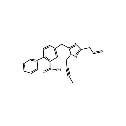 CC#CCn1nc(CC=S)nc1Cc1ccc(-c2ccccc2)c(C(=O)O)c1